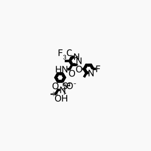 Cc1nc(F)ccc1Oc1nnc(C(F)(F)F)c(C)c1C(=O)Nc1cccc([S@@+]([O-])N(C)C(=O)[C@H](C)O)c1